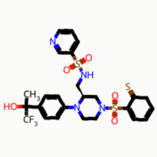 CC(O)(c1ccc(N2CCN(S(=O)(=O)C3=CC=CCC3=S)C[C@@H]2CNS(=O)(=O)c2cccnc2)cc1)C(F)(F)F